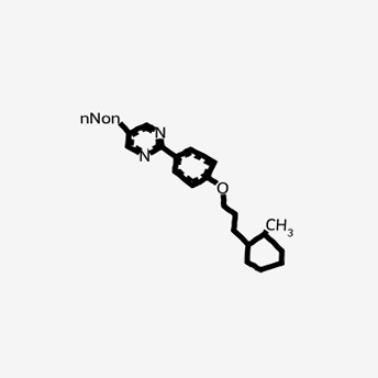 CCCCCCCCCc1cnc(-c2ccc(OCCCC3CCCCC3C)cc2)nc1